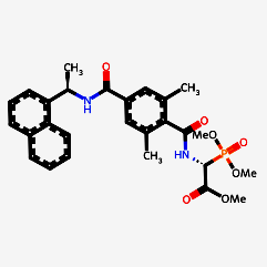 COC(=O)[C@H](NC(=O)c1c(C)cc(C(=O)N[C@H](C)c2cccc3ccccc23)cc1C)P(=O)(OC)OC